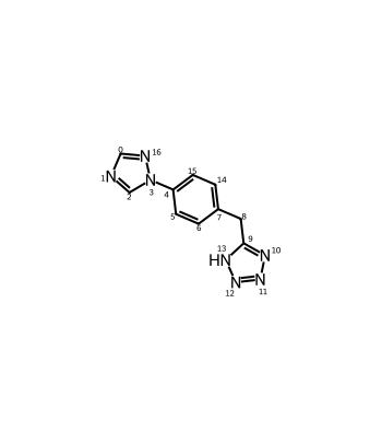 c1ncn(-c2ccc(Cc3nnn[nH]3)cc2)n1